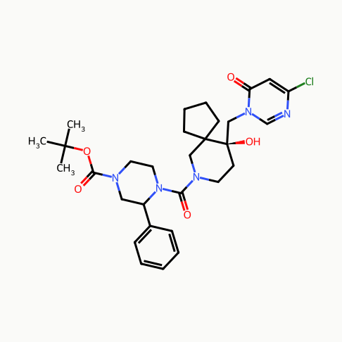 CC(C)(C)OC(=O)N1CCN(C(=O)N2CC[C@@](O)(Cn3cnc(Cl)cc3=O)C3(CCCC3)C2)C(c2ccccc2)C1